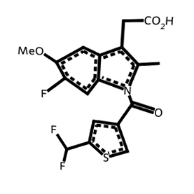 COc1cc2c(CC(=O)O)c(C)n(C(=O)c3csc(C(F)F)c3)c2cc1F